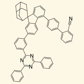 N#Cc1ccccc1-c1ccc(-c2cccc3c2-c2ccc(-c4cccc(-c5nc(-c6ccccc6)nc(-c6ccccc6)n5)c4)cc2C32C3CC4CC(C3)CC2C4)cc1